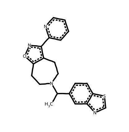 CC(c1ccc2scnc2c1)N1CCc2onc(-c3ccccn3)c2CC1